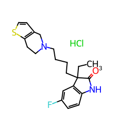 CCC1(CCCCN2CCc3sccc3C2)C(=O)Nc2ccc(F)cc21.Cl